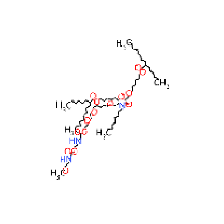 CCCCCCCCC(CCCCCC)C(=O)OCCCCCCOCC(OCCCCCCOC(=O)C(CCCCCC)CCCCCCCC)C(=O)N(CCCCCCCC)CCOCCCCCOCCOCCOC(=O)CNCCOC(=O)CNCCOC